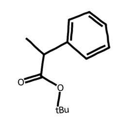 CC(C(=O)OC(C)(C)C)c1ccccc1